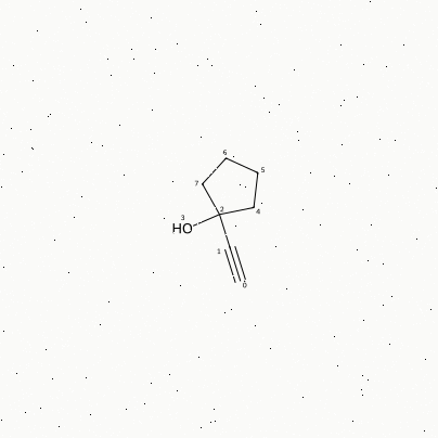 [C]#CC1(O)CCCC1